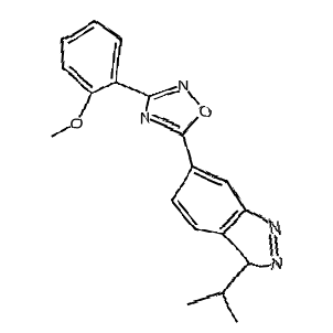 COc1ccccc1-c1noc(-c2ccc3c(c2)N=NC3C(C)C)n1